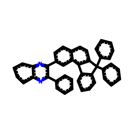 c1ccc(-c2nc3ccccc3nc2-c2ccc3ccc4c(c3c2)-c2ccccc2C4(c2ccccc2)c2ccccc2)cc1